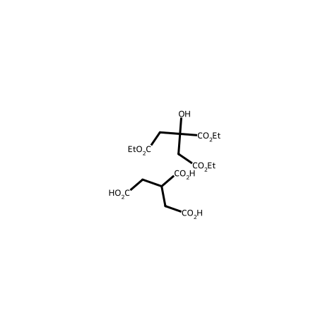 CCOC(=O)CC(O)(CC(=O)OCC)C(=O)OCC.O=C(O)CC(CC(=O)O)C(=O)O